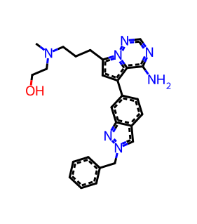 CN(CCO)CCCc1cc(-c2ccc3cn(Cc4ccccc4)nc3c2)c2c(N)ncnn12